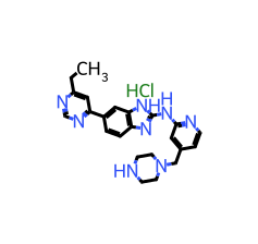 CCc1cc(-c2ccc3nc(Nc4cc(CN5CCNCC5)ccn4)[nH]c3c2)ncn1.Cl